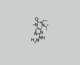 CC[C@@H]1C(=O)N(C)c2cnc(NN)nc2N1C(C)C